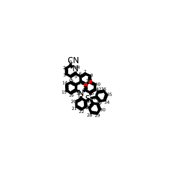 N#Cc1cccc(-c2ccccc2-c2ccccc2N2c3ccccc3[Si](c3ccccc3)(c3ccccc3)c3ccccc32)n1